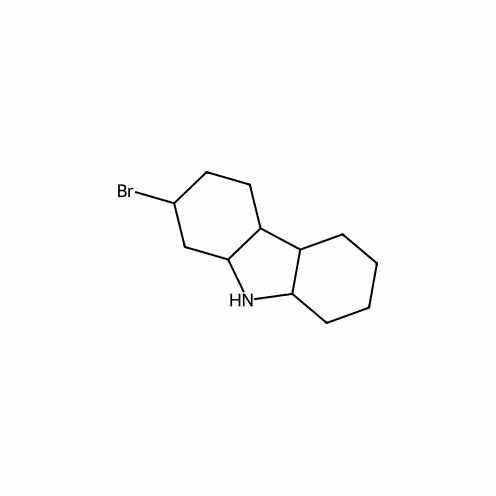 BrC1CCC2C(C1)NC1CCCCC12